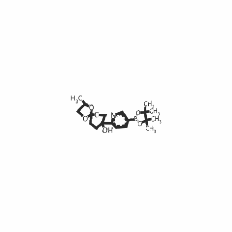 CC1COC2(CCC(O)(c3ccc(B4OC(C)(C)C(C)(C)O4)cn3)CC2)O1